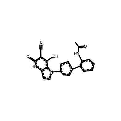 CC(=O)Nc1ccccc1-c1ccc(-n2ccc3[nH]c(=O)c(C#N)c(O)c32)cc1